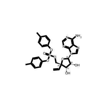 C=C[C@]1(COP(=O)(Oc2ccc(C)cc2)Oc2ccc(C)cc2)O[C@@H](n2cnc3c(N)ncnc32)[C@H](O)[C@@H]1O